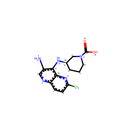 Nc1cnc2ccc(Cl)nc2c1N[C@@H]1CCCN(C(=O)O)C1